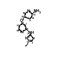 Cn1ccc(Nc2cc(Oc3ccc(N)nc3)ccn2)n1